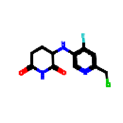 O=C1CCC(Nc2cnc(CCl)cc2F)C(=O)N1